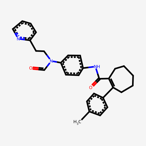 Cc1ccc(C2=C(C(=O)Nc3ccc(N(C=O)CCc4ccccn4)cc3)CCCCC2)cc1